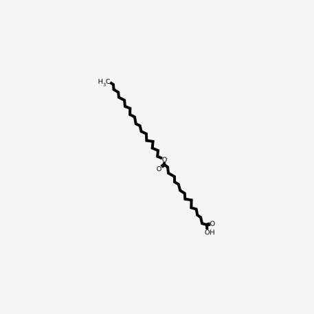 CCCCCCCCCCCCCCCCCCCOC(=O)CCCCCCCCCCCCCCC(=O)O